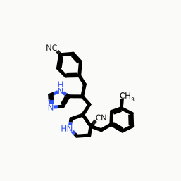 Cc1cccc(CC2(C#N)CCNCC2CC(Cc2ccc(C#N)cc2)c2cnc[nH]2)c1